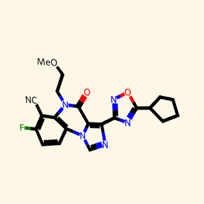 COCCn1c(=O)c2c(-c3noc(C4CCCC4)n3)ncn2c2ccc(F)c(C#N)c21